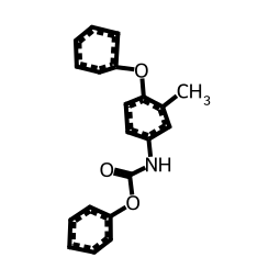 Cc1cc(NC(=O)Oc2ccccc2)ccc1Oc1ccccc1